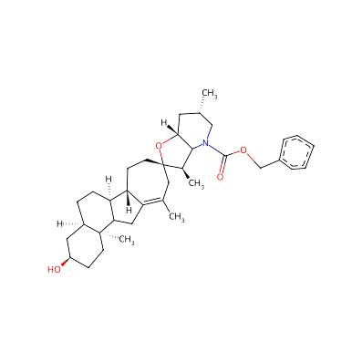 CC1=C2CC3[C@@H](CC[C@@H]4C[C@H](O)CC[C@]34C)[C@@H]2CC[C@@]2(C1)O[C@@H]1C[C@H](C)CN(C(=O)OCc3ccccc3)C1[C@H]2C